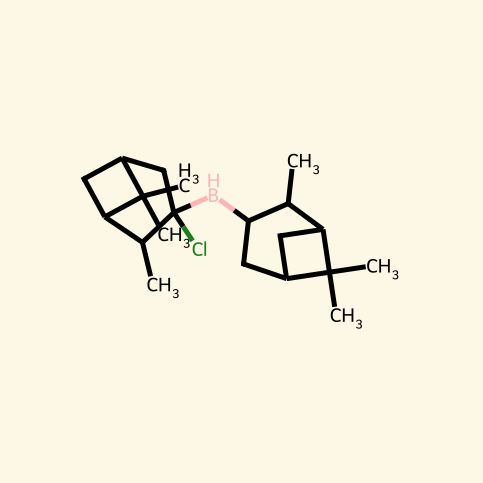 CC1C(BC2(Cl)CC3CC(C2C)C3(C)C)CC2CC1C2(C)C